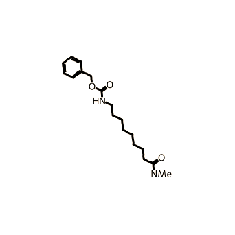 CNC(=O)CCCCCCCCNC(=O)OCc1ccccc1